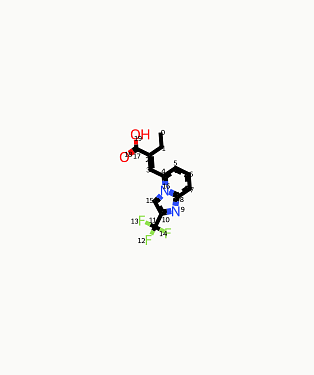 CC/C(=C\c1cccc2nc(C(F)(F)F)cn12)C(=O)O